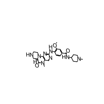 COc1cc(C(=O)NC2CCN(C)CC2)ccc1Nc1ncc2c(n1)N1CCNC[C@@H]1C(=O)N2C